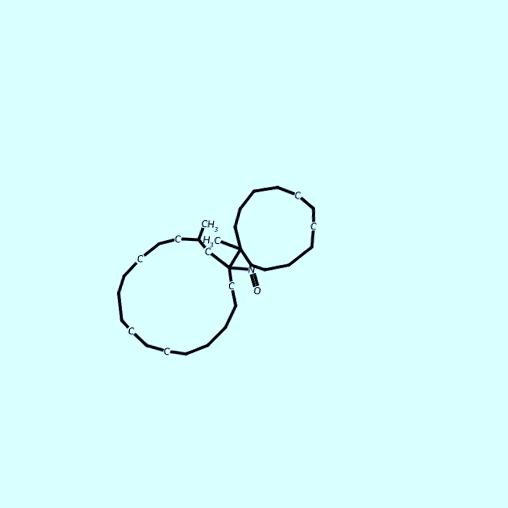 CC1CCCCCCCCCCCCCCC(N=O)(C2(C)CCCCCCCCCCC2)C1